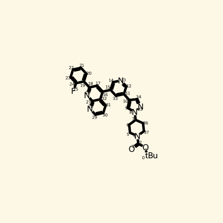 CC(C)(C)OC(=O)N1CCC(n2cc(-c3cncc(-c4cc(-c5ccccc5F)nc5ncccc45)c3)cn2)CC1